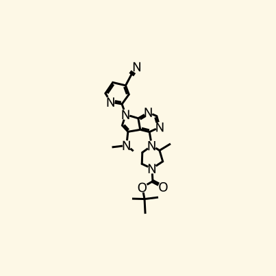 CC1CN(C(=O)OC(C)(C)C)CCN1c1ncnc2c1c(N(C)C)cn2-c1cc(C#N)ccn1